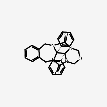 O=C1N2COCN3C(=O)N4Cc5ccccc5CN1[C@]4(c1ccccc1)[C@@]32c1ccccc1